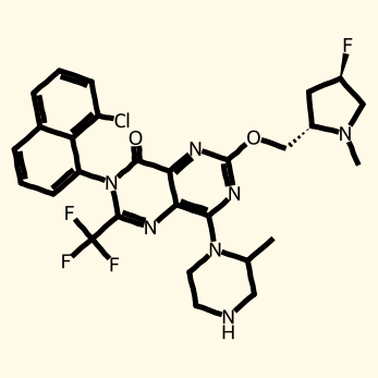 CC1CNCCN1c1nc(OC[C@@H]2C[C@@H](F)CN2C)nc2c(=O)n(-c3cccc4cccc(Cl)c34)c(C(F)(F)F)nc12